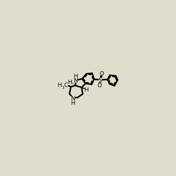 CC1CNCC[C@H]2c3cc(S(=O)(=O)c4ccccc4)ccc3N[C@H]12